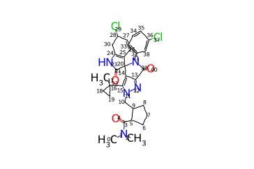 CN(C)C(=O)C1CCCC1Cn1nc2c(c1C1(C)CC1)C1(C(=O)NC3=C1C=CC(Cl)C3)N(c1cccc(Cl)c1)C2=O